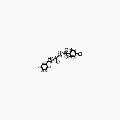 O=C(CCNC(O)(O)c1ccc(Cl)cc1)NCCc1ccccc1